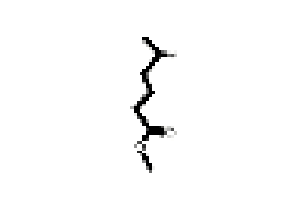 COC(=O)CCCC(C)F